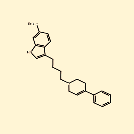 CCOC(=O)c1ccc2c(CCCCN3CC=C(c4ccccc4)CC3)c[nH]c2c1